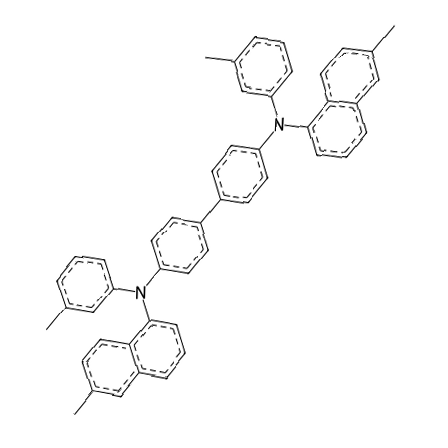 Cc1cccc(N(c2ccc(-c3ccc(N(c4cccc(C)c4)c4cccc5cc(C)ccc45)cc3)cc2)c2cccc3cc(C)ccc23)c1